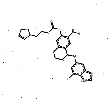 CCNc1cc2c(cc1NC(=O)SCCC1C=CCC1)CCCC2Nc1cc(F)c2[nH]cnc2c1